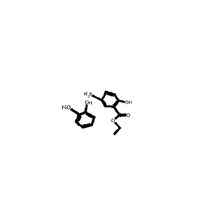 CCOC(=O)c1cc(N)ccc1O.Oc1ccccc1O